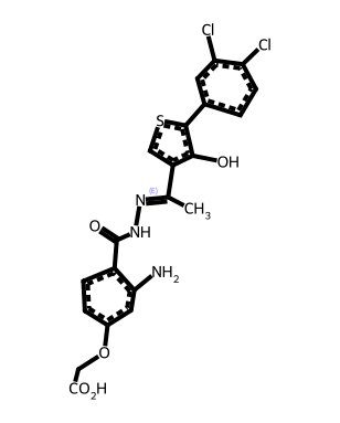 C/C(=N\NC(=O)c1ccc(OCC(=O)O)cc1N)c1csc(-c2ccc(Cl)c(Cl)c2)c1O